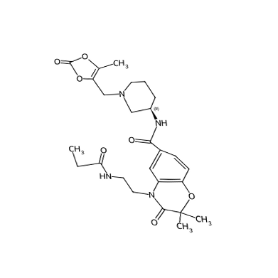 CCC(=O)NCCN1C(=O)C(C)(C)Oc2ccc(C(=O)N[C@@H]3CCCN(Cc4oc(=O)oc4C)C3)cc21